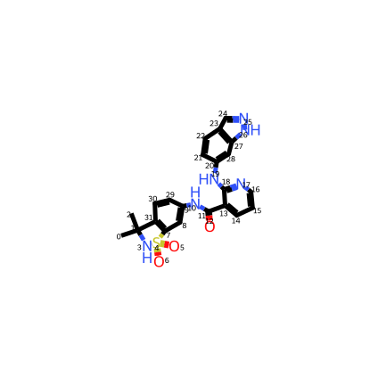 CC1(C)NS(=O)(=O)c2cc(NC(=O)c3cccnc3Nc3ccc4cn[nH]c4c3)ccc21